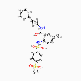 CS(=O)(=O)c1ccc(S(=O)(=O)Nc2ccc(C(F)(F)F)cc2C(=O)NC23CC(c4ccccc4)(C2)C3)cc1